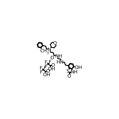 Cc1ccccc1CCN(CCC(=O)NCCNCCc1ccc(O)c2[nH]c(=O)sc12)C1CCOCC1.O=C(O)C(F)(F)F.O=C(O)C(F)(F)F